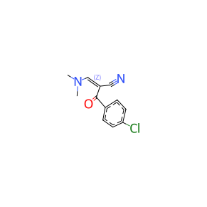 CN(C)/C=C(/C#N)C(=O)c1ccc(Cl)cc1